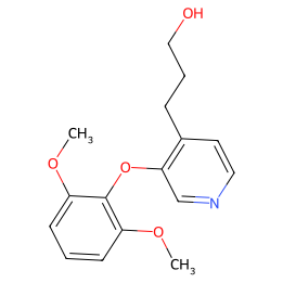 COc1cccc(OC)c1Oc1cnccc1CCCO